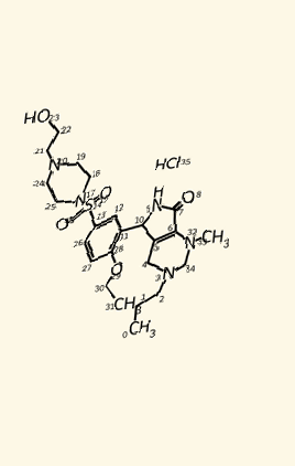 CCCN1CC2=C(C(=O)NC2c2cc(S(=O)(=O)N3CCN(CCO)CC3)ccc2OCC)N(C)C1.Cl